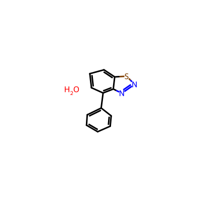 O.c1ccc(-c2cccc3snnc23)cc1